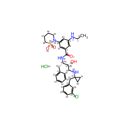 CCNc1cc(C(=O)N[C@@H](Cc2ccccc2)[C@H](O)CNC2(Cc3cccc(Cl)c3)CC2)cc(N2CCCCS2(=O)=O)c1.Cl